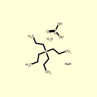 CCCS(CCC)(CCC)CCC.O.O=[PH](O)O.[NaH]